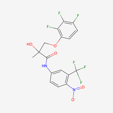 CC(O)(COc1ccc(F)c(F)c1F)C(=O)Nc1ccc([N+](=O)[O-])c(C(F)(F)F)c1